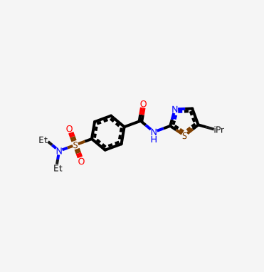 CCN(CC)S(=O)(=O)c1ccc(C(=O)Nc2ncc(C(C)C)s2)cc1